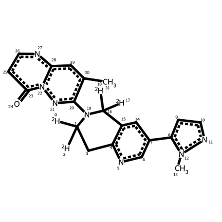 [2H]C1([2H])Cc2ncc(-c3ccnn3C)cc2C([2H])([2H])N1c1nn2c(=O)ccnc2cc1C